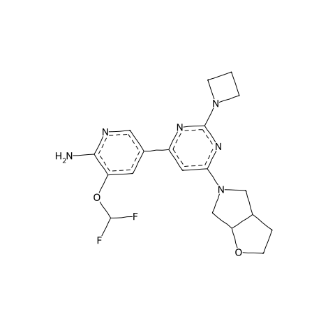 Nc1ncc(-c2cc(N3CC4CCOC4C3)nc(N3CCC3)n2)cc1OC(F)F